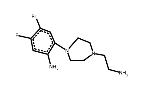 NCCN1CCN(c2cc(Br)c(F)cc2N)CC1